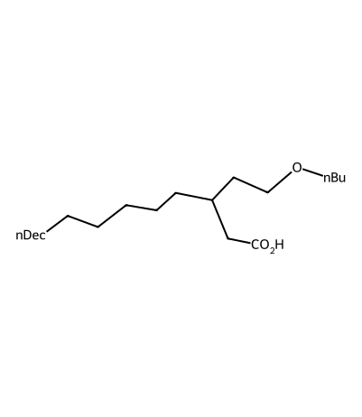 CCCCCCCCCCCCCCCC(CCOCCCC)CC(=O)O